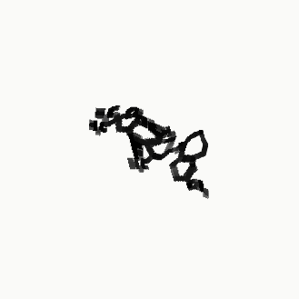 C=C(CC(C)(C)C)Nc1c(C)cc(N2CCCCc3cc(C)ccc32)cc1C